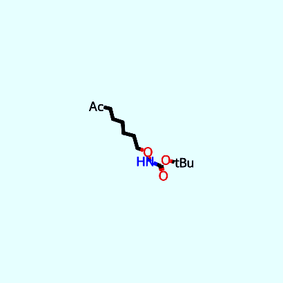 CC(=O)CCCCCCONC(=O)OC(C)(C)C